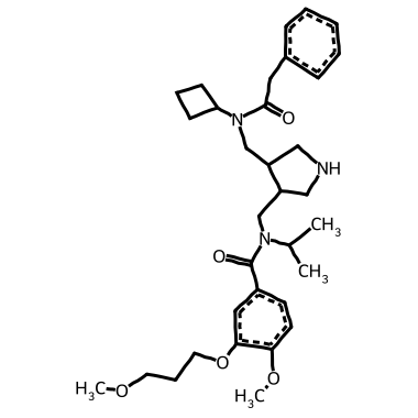 COCCCOc1cc(C(=O)N(CC2CNCC2CN(C(=O)Cc2ccccc2)C2CCC2)C(C)C)ccc1OC